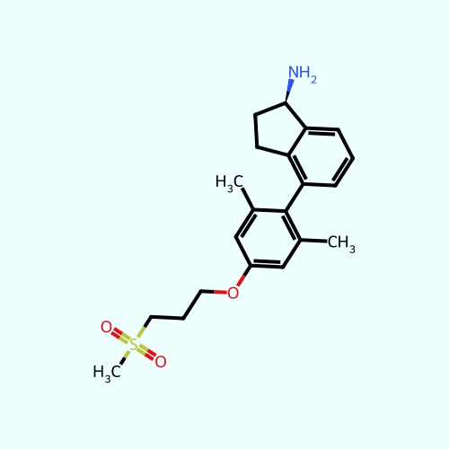 Cc1cc(OCCCS(C)(=O)=O)cc(C)c1-c1cccc2c1CC[C@H]2N